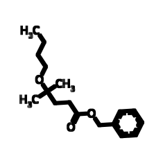 CCCCOC(C)(C)CCC(=O)OCc1ccccc1